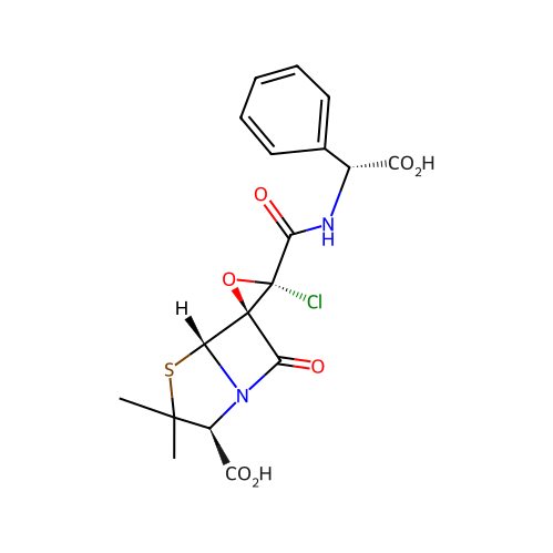 CC1(C)S[C@H]2N(C(=O)[C@]23O[C@@]3(Cl)C(=O)N[C@@H](C(=O)O)c2ccccc2)[C@H]1C(=O)O